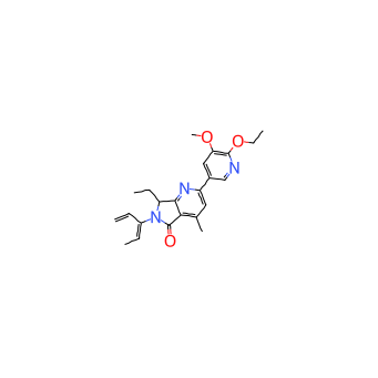 C=C/C(=C\C)N1C(=O)c2c(C)cc(-c3cnc(OCC)c(OC)c3)nc2C1CC